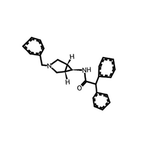 O=C(N[C@H]1[C@@H]2CN(Cc3ccccc3)C[C@@H]21)C(c1ccccc1)c1ccccc1